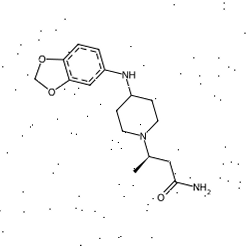 C[C@H](CC(N)=O)N1CCC(Nc2ccc3c(c2)OCO3)CC1